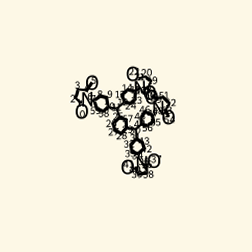 O=C1C=CC(=O)N1c1ccc(C(c2ccc(N3C(=O)C=CC3=O)cc2)c2cccc(C(c3ccc(N4C(=O)C=CC4=O)cc3)c3ccc(N4C(=O)C=CC4=O)cc3)c2)cc1